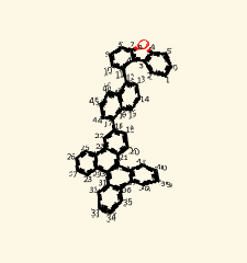 c1ccc2c(c1)oc1cccc(-c3cccc4c(-c5ccc6c(c5)c5ccccc5c5c7ccccc7c7ccccc7c65)cccc34)c12